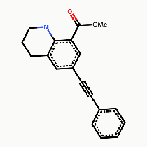 COC(=O)c1cc(C#Cc2ccccc2)cc2c1NCCC2